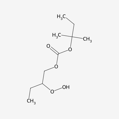 CCC(COC(=O)OC(C)(C)CC)OO